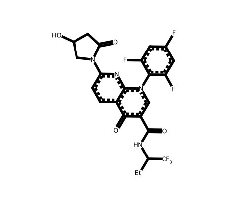 CCC(NC(=O)c1cn(-c2c(F)cc(F)cc2F)c2nc(N3CC(O)CC3=O)ccc2c1=O)C(F)(F)F